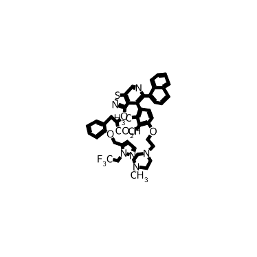 Cc1c(-c2c(-c3cccc4ccccc34)ncc3snc(OC(Cc4ccccc4OCc4ccnn4CC(F)(F)F)C(=O)O)c23)ccc(OCCN2CCN(C)CC2)c1Cl